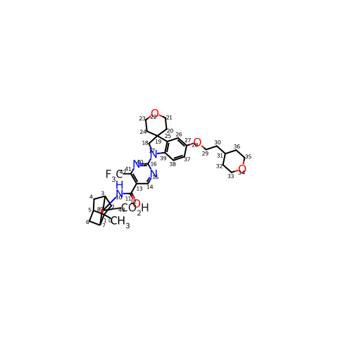 CC12CC3CC1CC2CC3(NC(=O)c1cnc(N2CC3(CCOCC3)c3cc(OCCC4CCOCC4)ccc32)nc1C(F)(F)F)C(=O)O